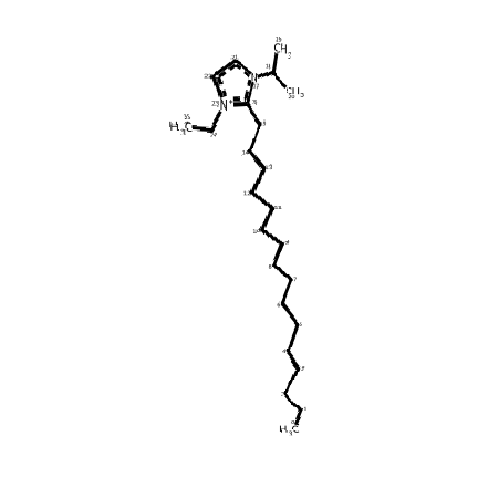 CCCCCCCCCCCCCCCCc1n(C(C)C)cc[n+]1CC